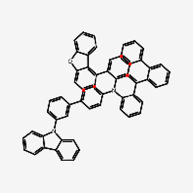 c1cc(-c2ccc(N(c3ccccc3-c3cc4ccccc4c4ccccc34)c3ccccc3-c3cccc4oc5ccccc5c34)cc2)cc(-n2c3ccccc3c3ccccc32)c1